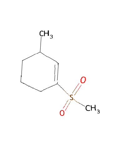 CC1C=C(S(C)(=O)=O)CCC1